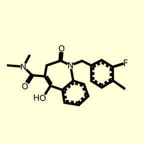 Cc1ccc(CN2C(=O)CC(C(=O)N(C)C)=C(O)c3ccccc32)cc1F